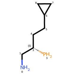 NC[C@@H](P)CCC1CC1